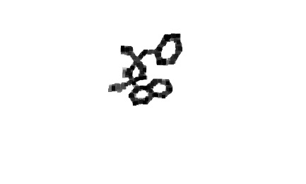 CCC(NP(=O)(O)Cc1ccccc1)(C(=O)O)c1cccc2ccccc12